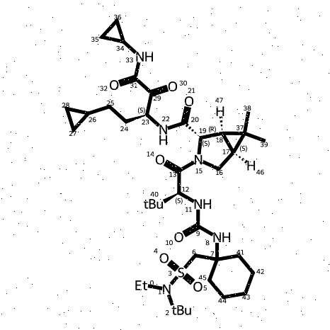 CCN(C(C)(C)C)S(=O)(=O)CC1(NC(=O)N[C@H](C(=O)N2C[C@H]3[C@@H]([C@H]2C(=O)N[C@@H](CCC2CC2)C(=O)C(=O)NC2CC2)C3(C)C)C(C)(C)C)CCCCC1